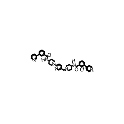 Cc1c(C(=O)NC2CCN(Cc3ccc(N4CCC(NC(=O)c5cccc(-c6cccnc6)c5)CC4)nc3)CC2)cccc1-c1ccncc1